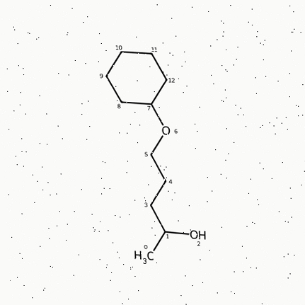 CC(O)CCCOC1CCCCC1